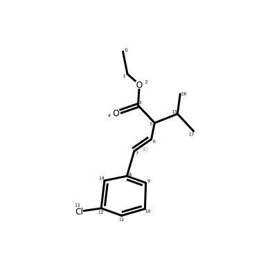 CCOC(=O)C(/C=C/c1cccc(Cl)c1)C(C)C